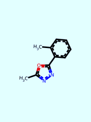 Cc1nnc(-c2ccccc2C)o1